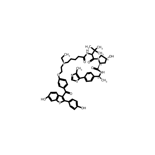 CCN(CCCCC(=O)NC(C(=O)N1C[C@H](O)C[C@H]1C(=O)N[C@@H](C)c1ccc(-c2scnc2C)cc1)C(C)(C)C)CCOc1ccc(C(=O)c2c(-c3ccc(O)cc3)sc3cc(O)ccc23)cc1